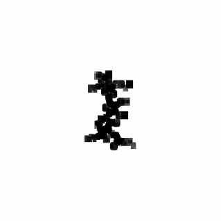 CCCc1nn(CC(N)=O)c2c(=O)n(C3OC(COC(C(=O)O)P(=O)(NC(C)C)NC(C)C)C(O)C3O)nnc12